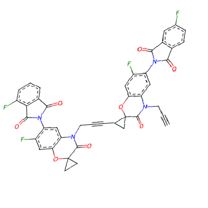 C#CCN1C(=O)C2(CC2C#CCN2C(=O)C3(CC3)Oc3cc(F)c(N4C(=O)c5cccc(F)c5C4=O)cc32)Oc2cc(F)c(N3C(=O)c4ccc(F)cc4C3=O)cc21